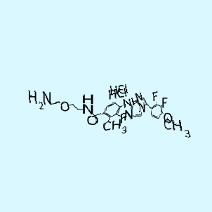 COc1ccc(-c2cnc3c(Nc4ccc(C(=O)NCCOCCN)c(C)c4F)nccn23)c(F)c1F.Cl.Cl